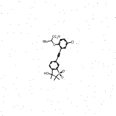 CC(C)(C)C(Oc1ccc(Cl)cc1C#Cc1ccc2c(c1)S(=O)(=O)C(C)(C)C2(C)O)C(=O)O